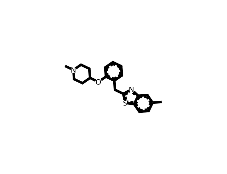 Cc1ccc2sc(Cc3ccccc3OC3CCN(C)CC3)nc2c1